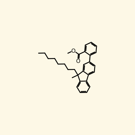 CCCCCCCCC1(C)c2ccccc2-c2ccc(-c3ccccc3C(=O)OC)cc21